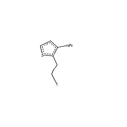 CCCc1ccsc1CCI